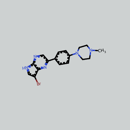 CN1CCN(c2ccc(-c3cnc4[nH]cc(Br)c4n3)cc2)CC1